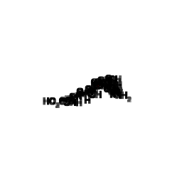 CC(C)(COP(=O)(O)OP(=O)(O)OC[C@H]1O[C@@H](n2cnc3c(N)ncnc32)[C@H](O)[C@@H]1OP(=O)(O)O)C(O)C(=O)NCCC(=O)NCCSC(=O)CC(O)CC(=O)O